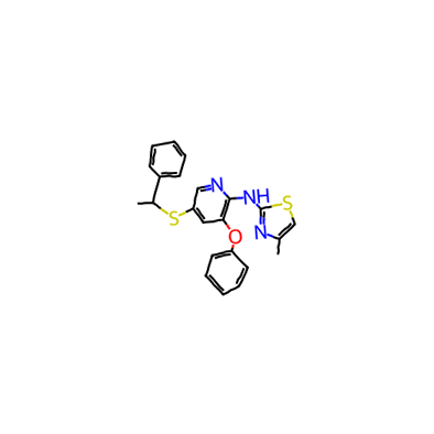 Cc1csc(Nc2ncc(SC(C)c3ccccc3)cc2Oc2ccccc2)n1